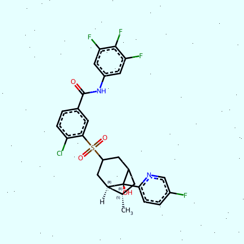 C[C@H]1CC2CC(S(=O)(=O)c3cc(C(=O)Nc4cc(F)c(F)c(F)c4)ccc3Cl)C[C@H]1[C@@]2(O)c1ccc(F)cn1